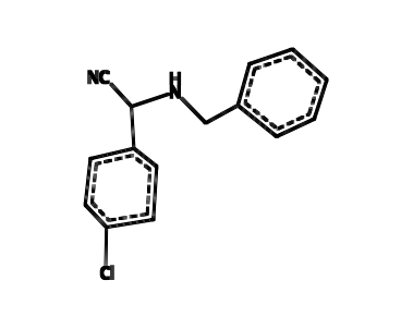 N#CC(NCc1ccccc1)c1ccc(Cl)cc1